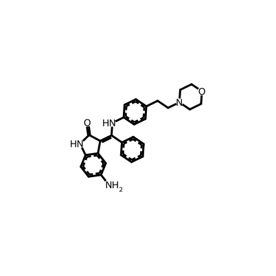 Nc1ccc2c(c1)/C(=C(/Nc1ccc(CCN3CCOCC3)cc1)c1ccccc1)C(=O)N2